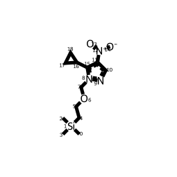 C[Si](C)(C)CCOCn1ncc([N+](=O)[O-])c1C1CC1